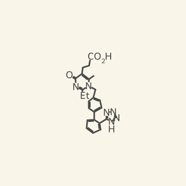 CCc1nc(=O)c(CCC(=O)O)c(C)n1Cc1ccc(-c2ccccc2-c2nnn[nH]2)cc1